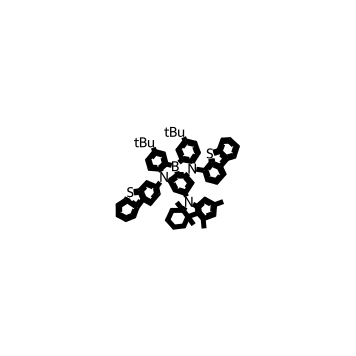 Cc1cc(C)c2c(c1)N(c1cc3c4c(c1)N(c1cccc5c1sc1ccccc15)c1ccc(C(C)(C)C)cc1B4c1cc(C(C)(C)C)ccc1N3c1ccc3c(c1)sc1ccccc13)C1(C)CCCCC21C